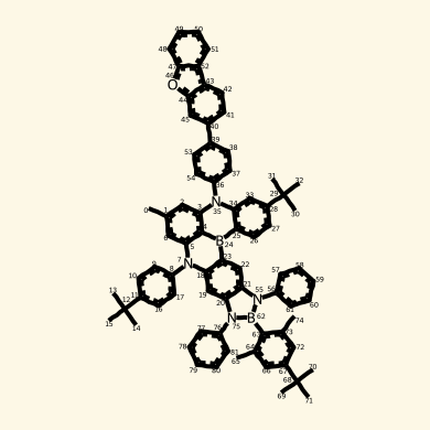 Cc1cc2c3c(c1)N(c1ccc(C(C)(C)C)cc1)c1cc4c(cc1B3c1ccc(C(C)(C)C)cc1N2c1ccc(-c2ccc3c(c2)oc2ccccc23)cc1)N(c1ccccc1)B(c1c(C)cc(C(C)(C)C)cc1C)N4c1ccccc1